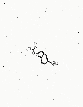 CCOC(CC)Oc1ccc2cc(C(C)CC)ccc2c1